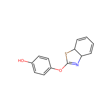 Oc1ccc(OC2=NC3C=CC=CC3S2)cc1